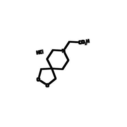 Cl.O=C(O)CN1CCC2(CC1)COOC2